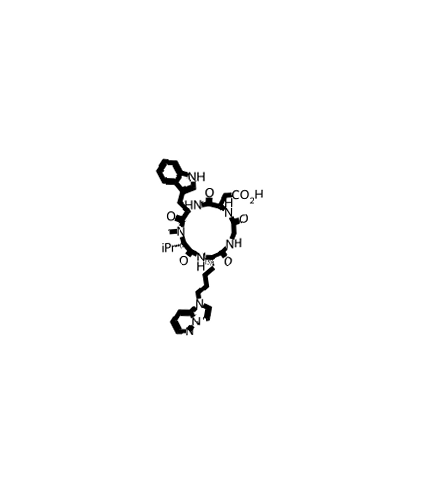 CC(C)[C@H]1C(=O)N[C@@H](CCCCn2cc[n+]3ncccc23)C(=O)NCC(=O)NC(CC(=O)O)C(=O)NC(Cc2c[nH]c3ccccc23)C(=O)N1C